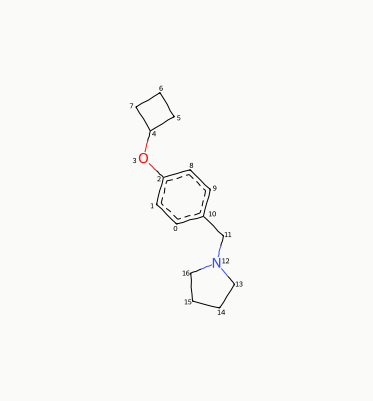 c1cc(OC2CCC2)ccc1CN1CCCC1